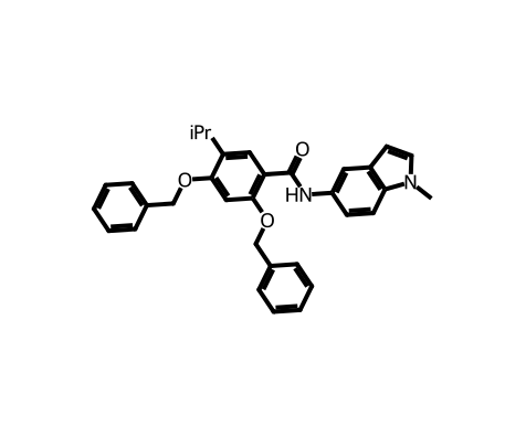 CC(C)c1cc(C(=O)Nc2ccc3c(ccn3C)c2)c(OCc2ccccc2)cc1OCc1ccccc1